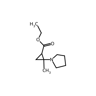 CCOC(=O)C1CC1(C)N1CCCC1